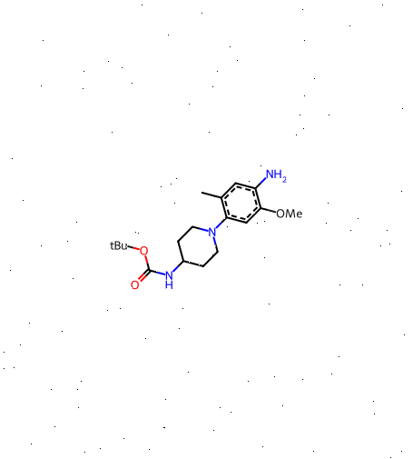 COc1cc(N2CCC(NC(=O)OC(C)(C)C)CC2)c(C)cc1N